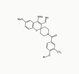 CNC1=C(C=N)C2(CCN(C(=O)c3ccc(OC(C)C)c(C)c3)CC2)Oc2ccc(OC)cc21